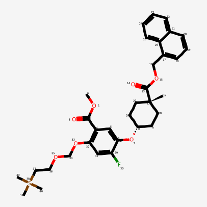 COC(=O)c1cc(O[C@H]2CC[C@@](C)(C(=O)OCc3cccc4ccccc34)CC2)c(F)cc1OCOCCS(C)(C)C